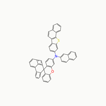 c1ccc2c(c1)Oc1cc(N(c3ccc4ccccc4c3)c3ccc4c(c3)sc3c5ccccc5ccc43)ccc1C21c2ccccc2-c2cccc3cccc1c23